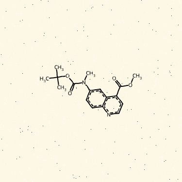 COC(=O)c1ccnc2ccc(N(C)C(=O)OC(C)(C)C)cc12